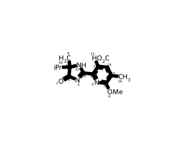 COc1nc(C2=NC(=O)C(C)(C(C)C)N2)c(C(=O)O)cc1C